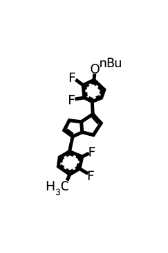 CCCCOc1ccc(C2=CCC3C(c4ccc(C)c(F)c4F)=CCC23)c(F)c1F